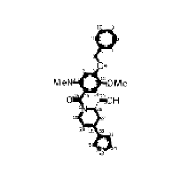 CNc1cc(OCc2ccccc2)c(OC)cc1C(=O)N1CC=C(c2ccsc2)C[C@H]1CO